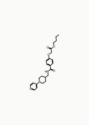 CCCCOC(=O)COc1ccc(C(=O)NCC2CCN(c3ccncc3)CC2)cc1